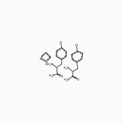 NC(=O)N(N)Cc1ccc(Cl)cc1.NC(=O)N(N)Cc1ccc(Cl)cc1.c1cn[nH]c1